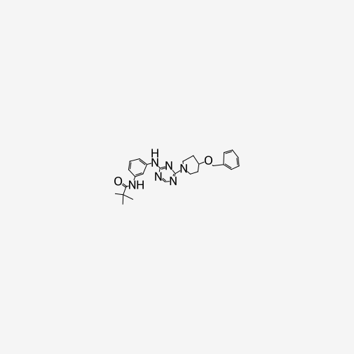 CC(C)(C)C(=O)Nc1cccc(Nc2ncnc(N3CCC(OCc4ccccc4)CC3)n2)c1